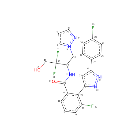 O=C(NC(Cn1cccn1)C(F)(F)CO)c1cccc(F)c1-c1cc(-c2ccc(F)cc2)[nH]n1